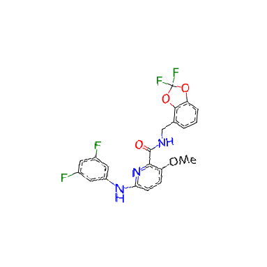 COc1ccc(Nc2cc(F)cc(F)c2)nc1C(=O)NCc1cccc2c1OC(F)(F)O2